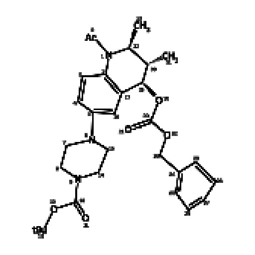 CC(=O)N1c2ccc(N3CCN(C(=O)OC(C)(C)C)CC3)cc2[C@H](OC(=O)OCc2ccccc2)[C@@H](C)[C@@H]1C